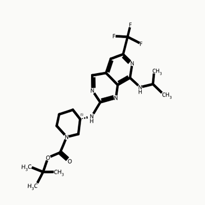 CC(C)Nc1nc(C(F)(F)F)cc2cnc(N[C@H]3CCCN(C(=O)OC(C)(C)C)C3)nc12